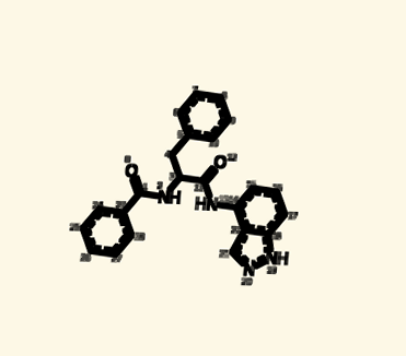 O=C(NC(Cc1ccccc1)C(=O)Nc1cccc2[nH]ncc12)c1ccccc1